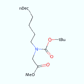 CCCCCCCCCCCCCCN(CC(=O)OC)C(=O)OC(C)(C)C